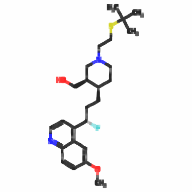 COc1ccc2nccc([C@@H](F)CC[C@@H]3CCN(CCSC(C)(C)C)C[C@@H]3CO)c2c1